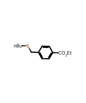 CCCCSCc1ccc(C(=O)OCC)cc1